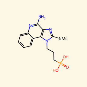 CNc1nc2c(N)nc3ccccc3c2n1CCCP(=O)(O)O